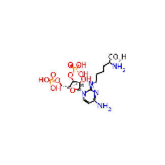 Nc1ccn([C@@H]2O[C@H](COP(=O)(O)O)[C@@H](OP(=O)(O)O)[C@H]2O)/c(=N/CCCCC(N)C(=O)O)n1